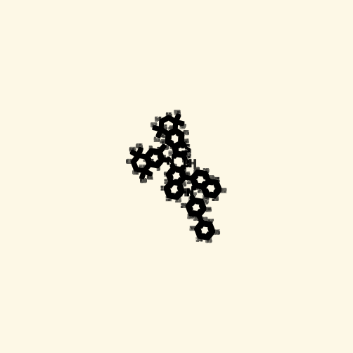 Cc1cc2c(cc1N1c3cc4ccccc4c(-c4ccc5ccccc5c4Nc4ccc(-c5ccccc5)cc4)c3Bc3sc4cc5c(cc4c31)C(C)(C)CCC5(C)C)C(C)(C)CCC2(C)C